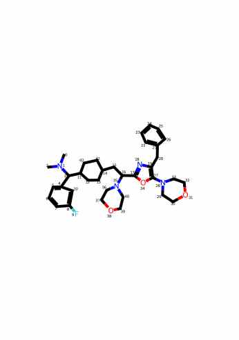 CN(C)C(c1cccc(F)c1)C1CCC(CC(c2nc(Cc3ccccc3)c(N3CCOCC3)o2)N2CCOCC2)CC1